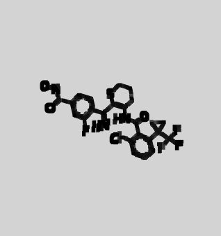 N=C(C1=C(NC(=O)c2c(Cl)cccc2C2(C(F)(F)F)CC2)CCCS1)c1ccc(C(=O)N=O)cc1F